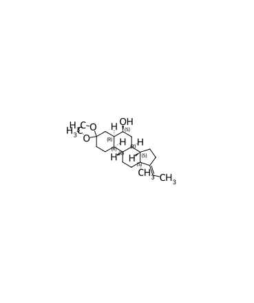 CC=C1CC[C@H]2[C@@H]3C[C@H](O)[C@@H]4CC(OC)(OC)CC[C@@H]4[C@H]3CC[C@]12C